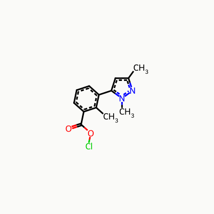 Cc1cc(-c2cccc(C(=O)OCl)c2C)n(C)n1